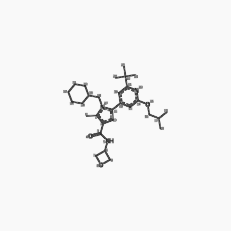 Cc1c(C(=O)NC2COC2)cc(-c2cc(OCC(C)C)nc(C(C)(C)C)c2)n1CC1CCCCC1